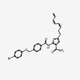 C=C/C=C\C=C/CCc1cc(C(N)=O)c(NC(=O)c2ccc(COc3ccc(Br)cc3)cc2)s1